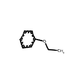 C[C]Oc1ccccc1